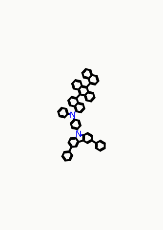 c1ccc(-c2ccc3c(c2)c2cc(-c4ccccc4)ccc2n3-c2ccc(N(c3ccccc3)c3cccc4c(-c5c6ccccc6c(-c6cccc7ccccc67)c6ccccc56)cccc34)cc2)cc1